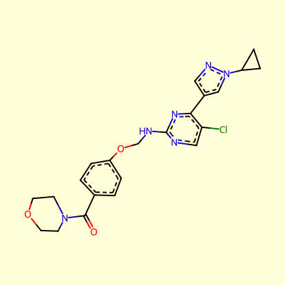 O=C(c1ccc(OCNc2ncc(Cl)c(-c3cnn(C4CC4)c3)n2)cc1)N1CCOCC1